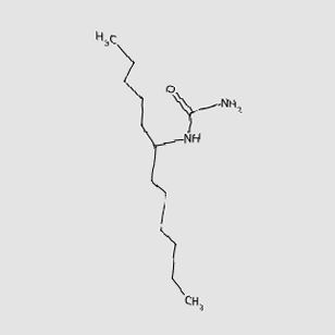 CCCCCCC(CCCCC)NC(N)=O